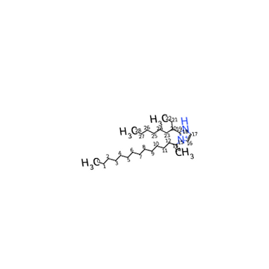 CCCCCCCCCCCCCC(C)[n+]1cc[nH]c1C(CC)CCCCCC